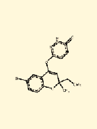 COCC1(C)C=C(Oc2ccc(=O)[nH]n2)c2cc(Br)ccc2O1